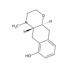 CN1CCO[C@H]2Cc3cccc(O)c3C[C@@H]21